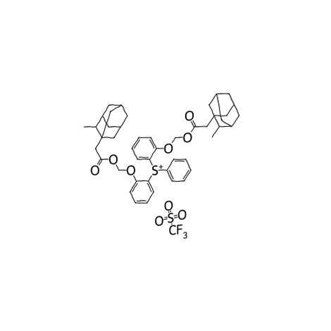 CC1C2CC3CC(C2)CC1(CC(=O)OCOc1ccccc1[S+](c1ccccc1)c1ccccc1OCOC(=O)CC12CC4CC(CC(C4)C1C)C2)C3.O=S(=O)([O-])C(F)(F)F